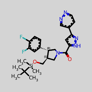 CC(C)(C)[Si](C)(C)OC[C@@H]1CN(C(=O)c2cc(-c3ccnnc3)n[nH]2)C[C@H]1c1ccc(F)c(F)c1